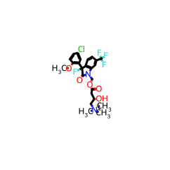 COc1ccc(Cl)cc1C1(F)C(=O)N(COC(=O)CC(O)C[N+](C)(C)C)c2cc(C(F)(F)F)ccc21